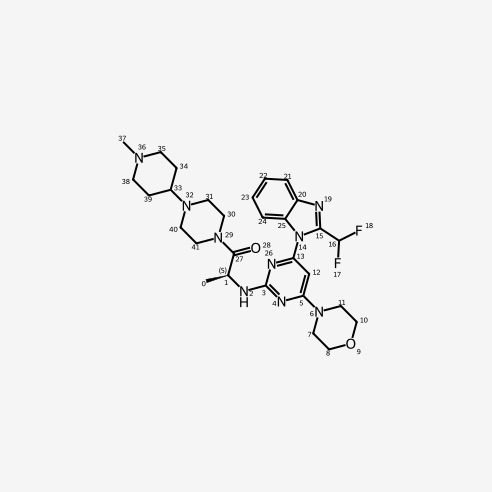 C[C@H](Nc1nc(N2CCOCC2)cc(-n2c(C(F)F)nc3ccccc32)n1)C(=O)N1CCN(C2CCN(C)CC2)CC1